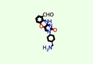 NC[C@H]1CC[C@H](n2cc3c(nc2=O)Nc2c(C=O)cccc2O3)CC1